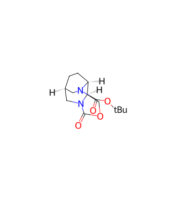 CC(C)(C)OC(=O)N1C[C@@H]2CC[C@H]1[C@H]1COC(=O)N1C2